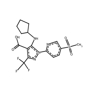 CS(=O)(=O)c1ccc(-n2nc(C(F)(F)F)c(C(=O)O)c2NC2CCCC2)nc1